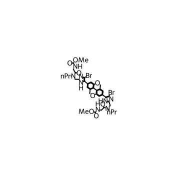 CCCN(Cc1nc(Br)c(-c2cc3c4c(c2)OCc2cc(-c5[nH]c(CN(CCC)C(=O)CNC(=O)OC)nc5Br)cc(c2-4)OC3)[nH]1)C(=O)CNC(=O)OC